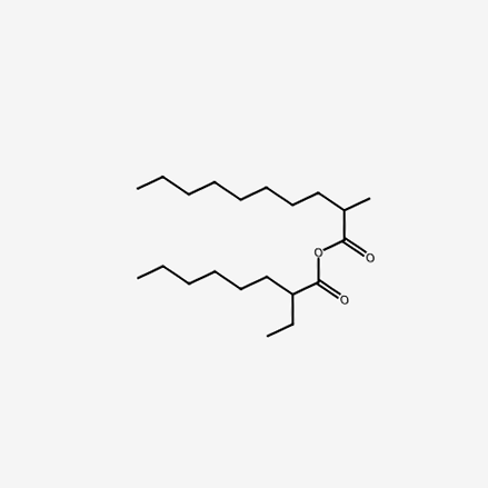 CCCCCCCCC(C)C(=O)OC(=O)C(CC)CCCCCC